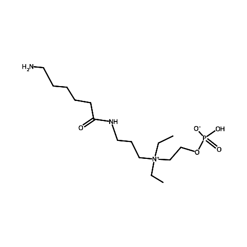 CC[N+](CC)(CCCNC(=O)CCCCCN)CCOP(=O)([O-])O